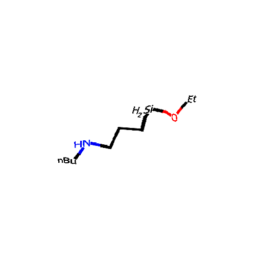 CCCCNCCC[SiH2]OCC